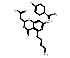 C=C(C)[C@@H]1CCC(C)=C[C@H]1c1c(O)cc(CCCCC)c2c1OC(CC(C)=O)OC2=O